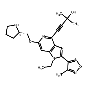 CCn1c(-c2nonc2N)nc2c(C#CC(C)(C)O)nc(OC[C@@H]3CCCN3)cc21